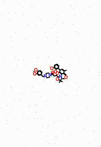 COc1cccc(C2C=C(C)C3=COCC(C(C)(C)C)N4C(=O)C(CC(=O)N5CCN(Cc6ccc7c(c6)OCO7)CC5)OC2=C34)c1OC